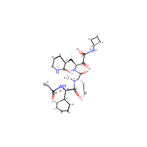 CC(C)C[C@@H](C(=O)N[C@@H](C[C@@H]1CCCNC1=O)C(=O)C(=O)NC1CCC1)N(C)C(=O)[C@H](NC(=O)C(C)(C)C)C1CCCCC1